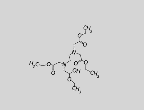 CCOC(=O)CN(CCN(CC(=O)OCC)CC(O)OCC)CC(=O)OCC